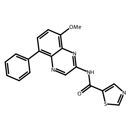 COc1ccc(-c2ccccc2)c2ncc(NC(=O)c3cncs3)nc12